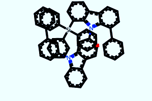 c1ccc(-c2cccc(-n3c4ccccc4c4ccc(-n5c6c(-c7ccccc7)cccc6c6cccc([Si](c7ccccc7)(c7ccccc7)c7ccccc7)c65)cc43)c2)cc1